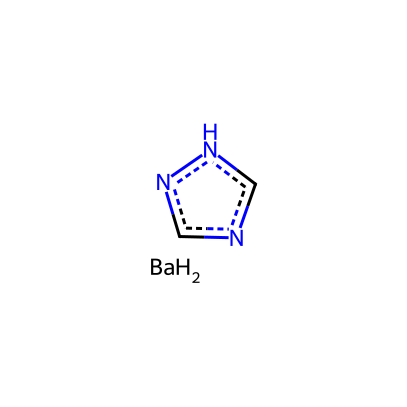 [BaH2].c1nc[nH]n1